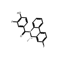 C[C@H]1c2cc(F)ccc2-c2ccccc2N1C(=O)c1ccc(O)c(F)c1